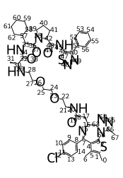 Cc1sc2c(c1C)C(c1ccc(Cl)cc1)=N[C@@H](CC(=O)NCCOCCOCCN[C@@H](C)C(=O)N[C@H](C(=O)N1CCC[C@H]1C(=O)Nc1snnc1-c1ccccc1)C1CCCCC1)c1nnc(C)n1-2